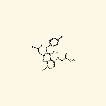 COC(=O)COc1ccc(Cl)c2nc(OC(F)F)c(Cc3ccc(Cl)cc3)c(C)c12